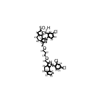 O=S(=O)(O)c1cc2c(s1)-c1c(c(COCCCOCc3nn(-c4ccc(Cl)cc4Cl)c4c3CCc3ccsc3-4)nn1-c1ccc(Cl)cc1Cl)CC2